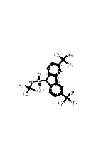 CC(C)(C)N[Si](C)(C)C1c2ccc(C(C)(C)C)cc2-c2cc(C(C)(C)C)ccc21